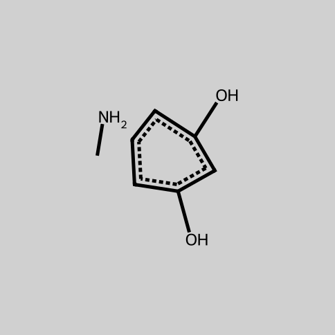 CN.Oc1cccc(O)c1